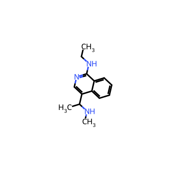 CCNc1ncc(C(C)NC)c2ccccc12